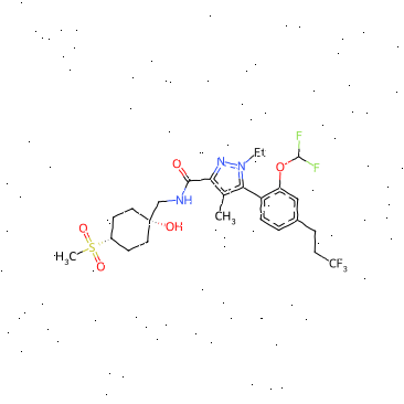 CCn1nc(C(=O)NC[C@]2(O)CC[C@@H](S(C)(=O)=O)CC2)c(C)c1-c1ccc(CCC(F)(F)F)cc1OC(F)F